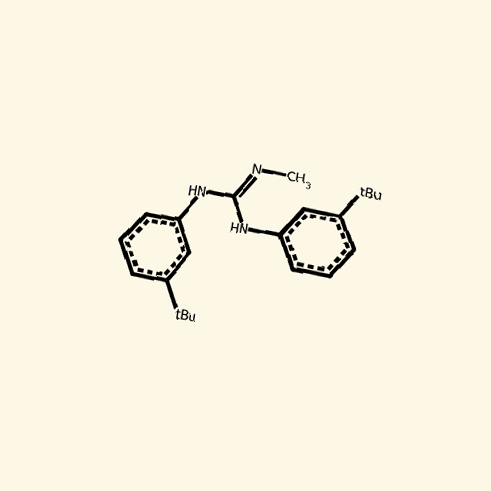 CN=C(Nc1cccc(C(C)(C)C)c1)Nc1cccc(C(C)(C)C)c1